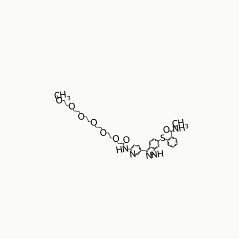 CNC(=O)c1ccccc1Sc1ccc2c(-c3ccc(NC(=O)COCCOCCOCCOCCOCCOC)nc3)n[nH]c2c1